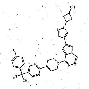 CC(N)(c1ccc(F)cc1)c1cnc(C2=CCN(c3ncnn4cc(-c5cnn(C6CC(O)C6)c5)cc34)CC2)nc1